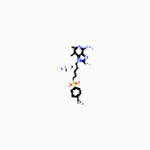 CC(=O)O.CCCc1nc2c(N)nc(C)c(C)c2n1CCCCCS(=O)(=O)c1ccc(C(F)(F)F)cc1.N